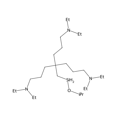 CCN(CC)CCCC(CCCN(CC)CC)(CCCN(CC)CC)C[SiH2]OC(C)C